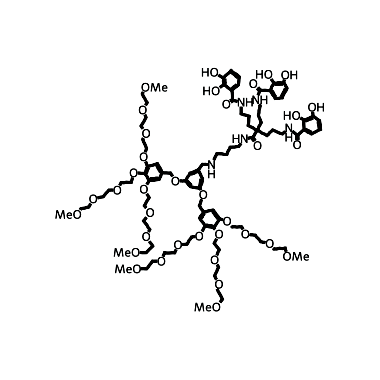 COCCOCCOCCOc1cc(COc2cc(CNCCCCNC(=O)C(CCCNC(=O)c3cccc(O)c3O)(CCCNC(=O)c3cccc(O)c3O)CCCNC(=O)c3cccc(O)c3O)cc(OCc3cc(OCCOCCOCCOC)c(OCCOCCOCCOC)c(OCCOCCOCCOC)c3)c2)cc(OCCOCCOCCOC)c1OCCOCCOCCOC